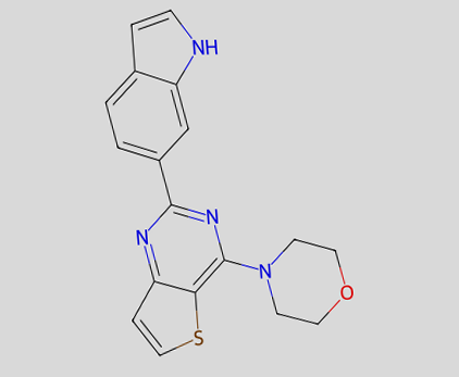 c1cc2ccc(-c3nc(N4CCOCC4)c4sccc4n3)cc2[nH]1